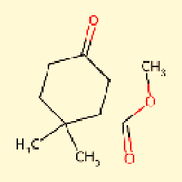 CC1(C)CCC(=O)CC1.COC=O